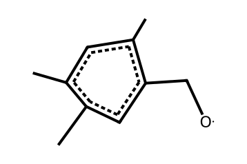 Cc1cc(C)c(C[O])cc1C